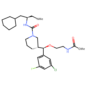 CNC[C@H](CC1CCCCC1)NC(=O)N1CCC[C@@H]([C@@H](OCCNC(=O)OC)c2cc(F)cc(Cl)c2)C1